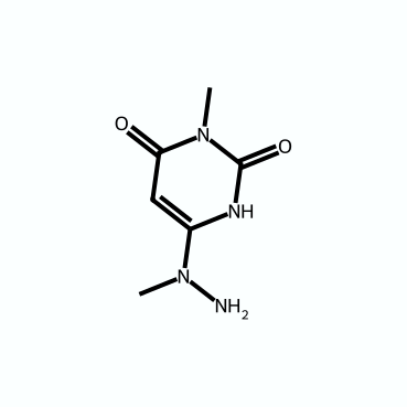 CN(N)c1cc(=O)n(C)c(=O)[nH]1